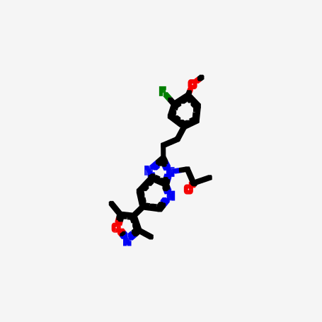 COc1ccc(CCc2nc3cc(-c4c(C)noc4C)cnc3n2CC(C)=O)cc1F